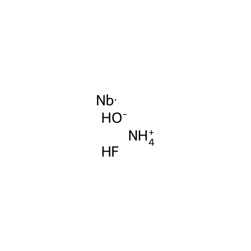 F.[NH4+].[Nb].[OH-]